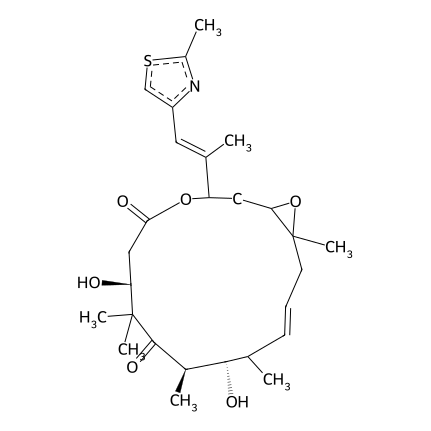 C/C(=C\c1csc(C)n1)C1CC2OC2(C)C/C=C/C(C)[C@H](O)[C@@H](C)C(=O)C(C)(C)[C@@H](O)CC(=O)O1